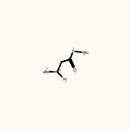 CCCC[C@@H](CC(=O)OC(C)(C)C)C(C)=O